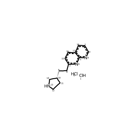 Cl.Cl.c1cnc2nc(CC[C@@H]3CCNC3)ccc2c1